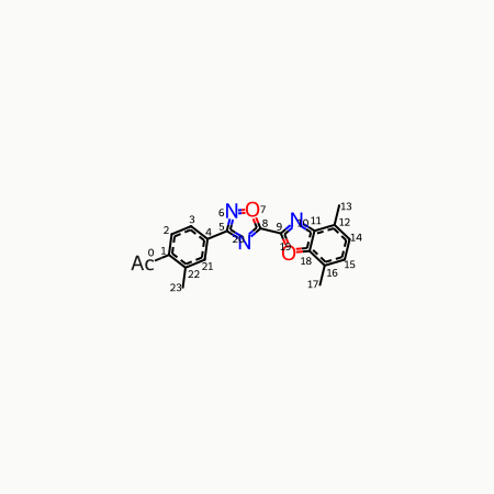 CC(=O)c1ccc(-c2noc(-c3nc4c(C)ccc(C)c4o3)n2)cc1C